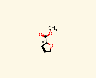 COC(=O)[C@@H]1C=CCO1